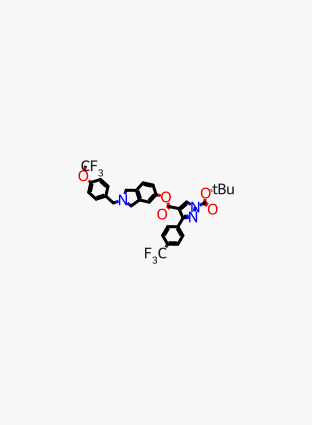 CC(C)(C)OC(=O)n1cc(C(=O)Oc2ccc3c(c2)CN(Cc2ccc(OC(F)(F)F)cc2)C3)c(-c2ccc(C(F)(F)F)cc2)n1